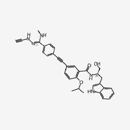 C#CN/N=C(\NC)c1ccc(C#Cc2ccc(OC(C)C)c(C(=O)N[C@@H](CO)Cc3c[nH]c4ccccc34)c2)cc1